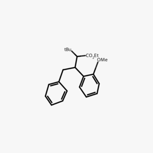 CCOC(=O)C(C(Cc1ccccc1)c1ccccc1OC)C(C)(C)C